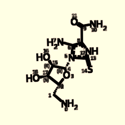 NC[C@H]1O[C@@H](n2c(N)c(C(N)=O)[nH]c2=S)[C@H](O)[C@@H]1O